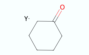 O=C1CCCCC1.[Y]